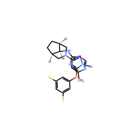 CCn1nc(N[C@H]2[C@@H]3CC[C@H]2CN(c2cc(C)ncn2)C3)nc1Oc1cc(F)cc(F)c1